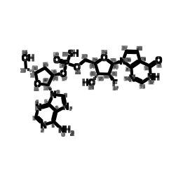 Nc1ncnc2c1ncn2[C@@H]1O[C@H](CO)C[C@H]1OP(=O)(S)OC[C@H]1O[C@@H](n2ccc3c(=O)[nH]cnc32)[C@@H](F)[C@@H]1O